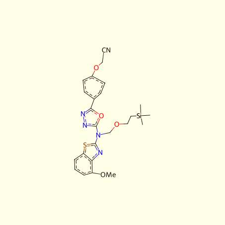 COc1cccc2sc(N(COCC[Si](C)(C)C)c3nnc(-c4ccc(OCC#N)cc4)o3)nc12